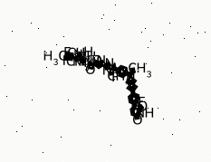 CCC(c1ccc(-c2cnc(-c3cc(C(=O)NCc4nc(C(C)(C)C(C)(F)F)n[nH]4)on3)nc2C)c(F)c1)N1CC2(CC(c3ccc(N4CCC(=O)NC4=O)c(F)c3)C2)C1